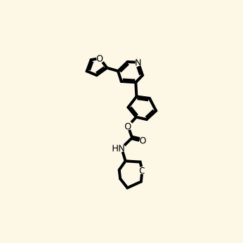 O=C(NC1CCCCCC1)Oc1cccc(-c2cncc(-c3ccco3)c2)c1